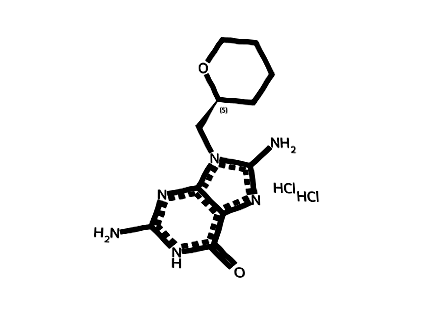 Cl.Cl.Nc1nc2c(nc(N)n2C[C@@H]2CCCCO2)c(=O)[nH]1